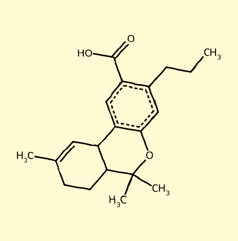 CCCc1cc2c(cc1C(=O)O)C1C=C(C)CCC1C(C)(C)O2